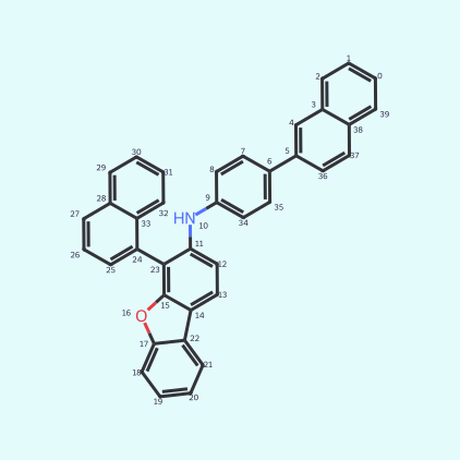 c1ccc2cc(-c3ccc(Nc4ccc5c(oc6ccccc65)c4-c4cccc5ccccc45)cc3)ccc2c1